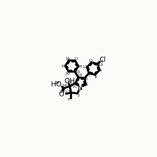 CC1(C)Cn2[c]c(-c3ccc(Cl)cc3)c(-c3ccccc3)c2C1(O)C(=O)O